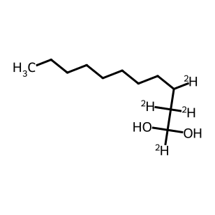 [2H]C(CCCCCCCC)C([2H])([2H])C([2H])(O)O